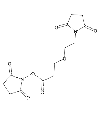 O=C(CCOCCN1C(=O)CCC1=O)ON1C(=O)CCC1=O